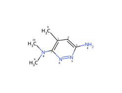 Cc1cc(N)nnc1N(C)C